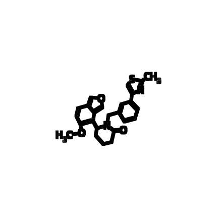 COc1ccc2cocc2c1C1CCCC(=O)N1Cc1cccc(-c2csc(C)n2)c1